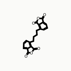 O=C1OC(=O)c2c(CCCCc3cccc4c3C(=O)OC4=O)cccc21